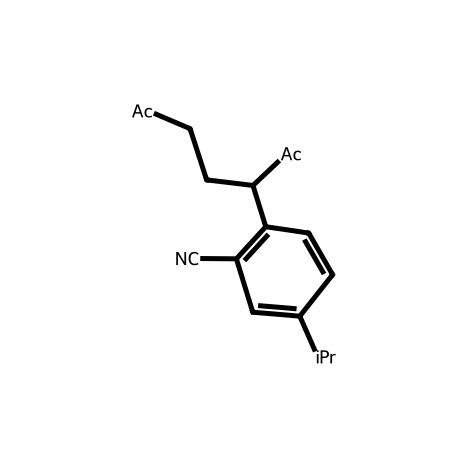 CC(=O)CCC(C(C)=O)c1ccc(C(C)C)cc1C#N